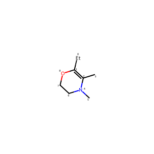 CCC1=C(C)N(C)CCO1